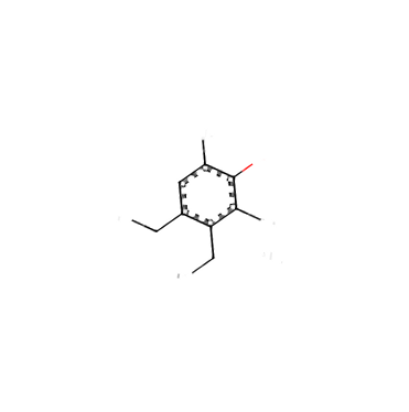 CC(C)Cc1cc(C(C)(C)C)c(O)c(C(C)(C)C)c1CC(C)C.[AlH3]